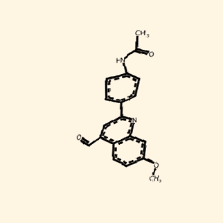 COc1ccc2c(C=O)cc(-c3ccc(NC(C)=O)cc3)nc2c1